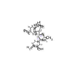 C=C/N=C(\C=C(/N)N1CCN(C)[C@H](O)C1)C1NN[C@@H]2CC=C(OC(C)C)C[C@H]12